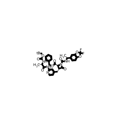 C[C@H](NC(=O)OC(C)(C)C)C(=O)Nc1cc(C[C@H]2C(=O)N(C(=O)N[C@H](C)c3ccc4c(c3)OC(F)(F)O4)[C@@H]2C(=O)OCc2ccccc2)ccn1